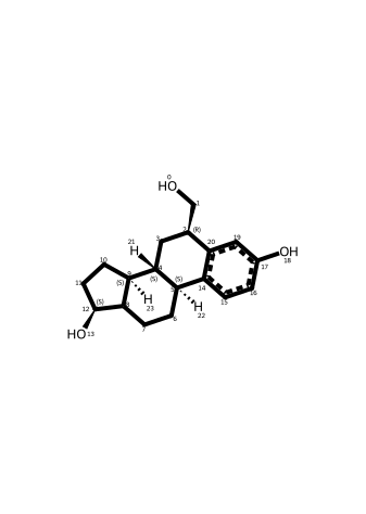 OC[C@@H]1C[C@@H]2[C@H](CCC3[C@H]2CC[C@@H]3O)c2ccc(O)cc21